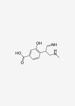 CNCC(C=N)c1ccc(C(=O)O)cc1O